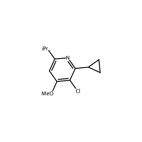 COc1cc(C(C)C)nc(C2CC2)c1Cl